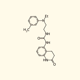 CCN(CCNC(=O)Nc1cccc2c1CCC(=O)N2)c1cccc(C)c1